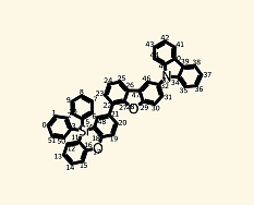 c1ccc([Si]2(c3ccccc3)c3ccccc3Oc3ccc(-c4cccc5c4oc4ccc(-n6c7ccccc7c7ccccc76)cc45)cc32)cc1